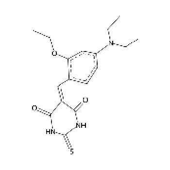 CCOc1cc(N(CC)CC)ccc1C=C1C(=O)NC(=S)NC1=O